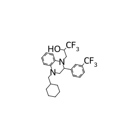 OC(CN1c2ccccc2N(CC2CCCCC2)CC1c1cccc(C(F)(F)F)c1)C(F)(F)F